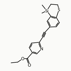 CCOC(=O)c1ccc(C#Cc2ccc3c(c2)[Si](C)(C)CCS3)nc1